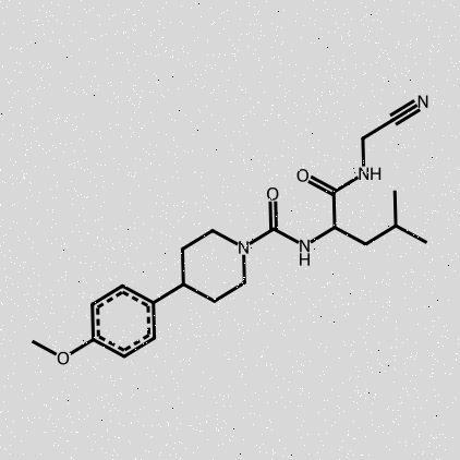 COc1ccc(C2CCN(C(=O)NC(CC(C)C)C(=O)NCC#N)CC2)cc1